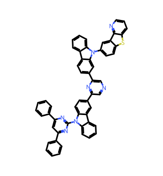 c1ccc(-c2cc(-c3ccccc3)nc(-n3c4ccccc4c4cc(-c5cncc(-c6ccc7c8ccccc8n(-c8ccc9sc%10cccnc%10c9c8)c7c6)n5)ccc43)n2)cc1